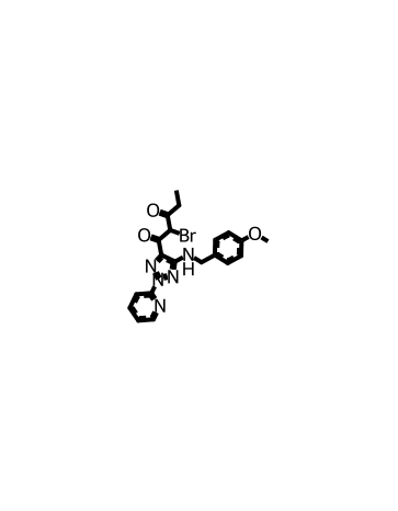 CCC(=O)C(Br)C(=O)c1nn(-c2ccccn2)nc1NCc1ccc(OC)cc1